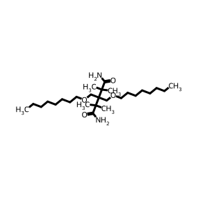 CCCCCCCCOCC(COCCCCCCCC)(C(C)(C)C(N)=O)C(C)(C)C(N)=O